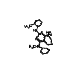 Cc1ccccc1Nc1nc(N(C)c2ccccc2)c2ccccc2n1.Cl